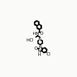 CC(CN1CCC(n2c(=O)[nH]c3cc(Cl)ccc32)CC1)NC(=O)c1ccc2ccccc2c1.Cl